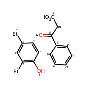 CCc1ccc(O)c(CC)c1.O=C(O)CC(=O)c1ccccc1